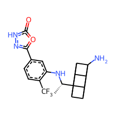 C[C@H](Nc1cc(-c2n[nH]c(=O)o2)ccc1C(F)(F)F)C12C3C4C1C1C2C3C41N